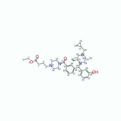 CCOC(=O)CCCN1CCN(C(=O)c2cccc(C(c3cccc(O)c3)N3C[C@@H](C)N(CC4CC4)C[C@@H]3C)c2)CC1